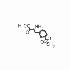 COC(=O)[C@H](N)Cc1cccc(S(C)(=O)=O)c1